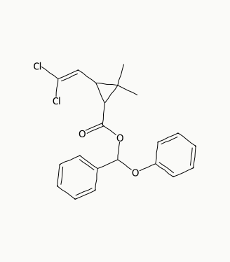 CC1(C)C(C=C(Cl)Cl)C1C(=O)OC(Oc1ccccc1)c1ccccc1